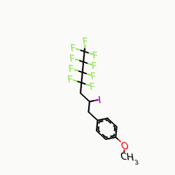 COc1ccc(CC(I)CC(F)(F)C(F)(F)C(F)(F)C(F)(F)F)cc1